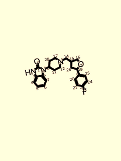 O=c1[nH]c2ccccc2n1C1CCN(CC2COC(c3ccc(F)cc3)C2)CC1